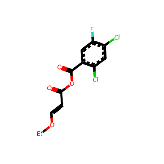 CCOC=CC(=O)OC(=O)c1cc(F)c(Cl)cc1Cl